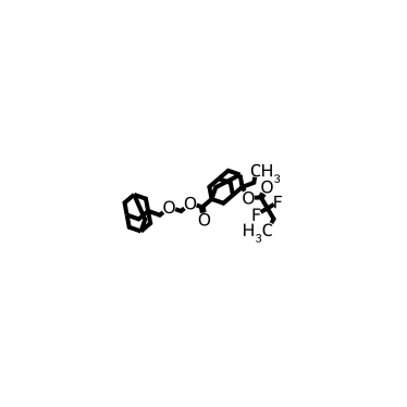 CCC(F)(F)C(=O)OC1(CC)C2CC3CC1CC(C(=O)OCOCC14CC5CC(CC(C5)C1)C4)(C3)C2